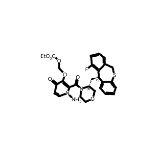 CCOC(=O)OCOc1c(C(=O)N2CCOC[C@H]2C[C@@H]2c3ccccc3SCc3cccc(F)c32)n(N)ccc1=O